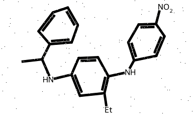 CCc1cc(NC(C)c2ccccc2)ccc1Nc1ccc([N+](=O)[O-])cc1